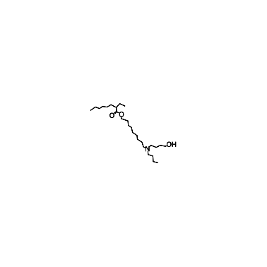 CCCCCCC(CC)C(=O)OCCCCCCCCCN(CCCC)CCCCO